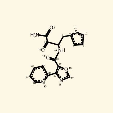 NC(=O)C(=O)C(Cc1cccs1)NC(=O)c1ocnc1-c1ccccn1